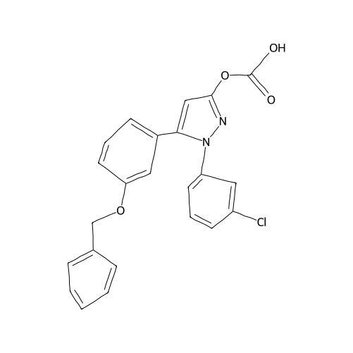 O=C(O)Oc1cc(-c2cccc(OCc3ccccc3)c2)n(-c2cccc(Cl)c2)n1